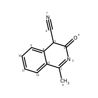 CC1=NC(=O)C(C#N)c2ccccc21